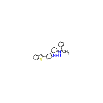 C[C@@H](N[C@@H]1CCCc2c1[nH]c1ccc(-c3cc4ccccc4s3)cc21)c1ccccc1